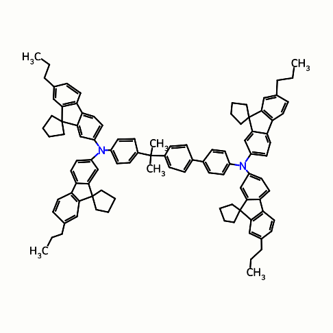 CCCc1ccc2c(c1)C1(CCCC1)c1cc(N(c3ccc(-c4ccc(C(C)(C)c5ccc(N(c6ccc7c(c6)C6(CCCC6)c6cc(CCC)ccc6-7)c6ccc7c(c6)C6(CCCC6)c6cc(CCC)ccc6-7)cc5)cc4)cc3)c3ccc4c(c3)C3(CCCC3)c3cc(CCC)ccc3-4)ccc1-2